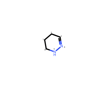 [C]1CCC=NN1